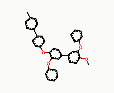 COc1ccc(-c2ccc(Oc3ccc(-c4ccc(C)cc4)cc3)c(Oc3ccccc3)c2)cc1Oc1ccccc1